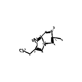 Cc1cn2cc(CCl)nc2cn1